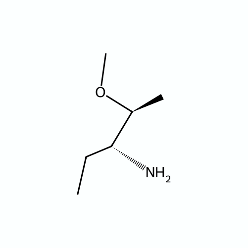 CC[C@@H](N)[C@H](C)OC